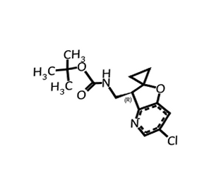 CC(C)(C)OC(=O)NC[C@@H]1c2ncc(Cl)cc2OC12CC2